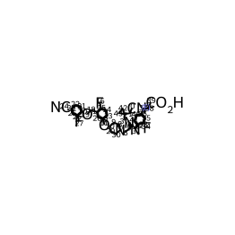 N#CCC1(Cn2c(CN3CCC(Oc4ccc(F)c(COc5ccc(C#N)cc5F)c4)CC3)nc3c(F)cc(/C=C/C(=O)O)cc32)CC1